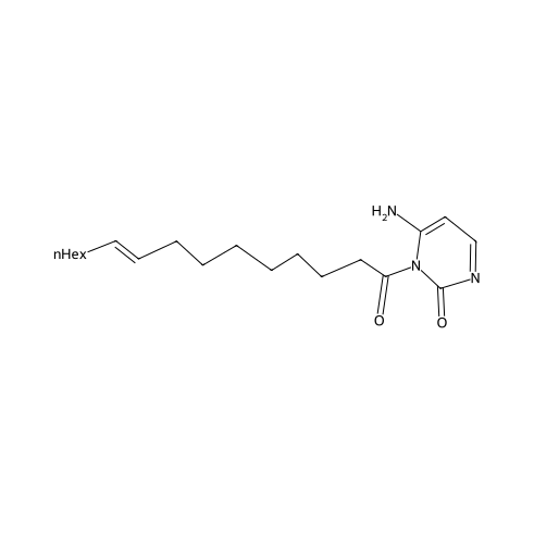 CCCCCCC=CCCCCCCCC(=O)n1c(N)ccnc1=O